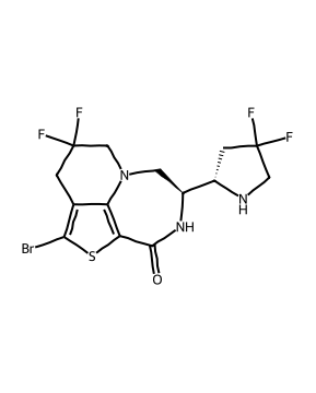 O=C1N[C@H]([C@@H]2CC(F)(F)CN2)CN2CC(F)(F)Cc3c(Br)sc1c32